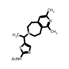 CC(=O)Nc1ncc(C(C)N2CCc3cc(C)nc(C)c3CC2)s1